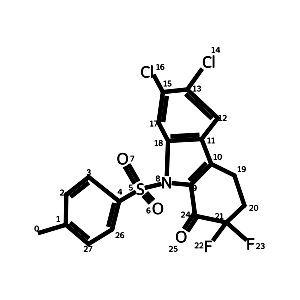 Cc1ccc(S(=O)(=O)n2c3c(c4cc(Cl)c(Cl)cc42)CCC(F)(F)C3=O)cc1